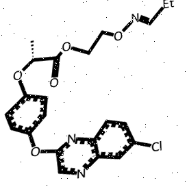 CCC=NOCCOC(=O)[C@@H](C)Oc1ccc(Oc2cnc3cc(Cl)ccc3n2)cc1